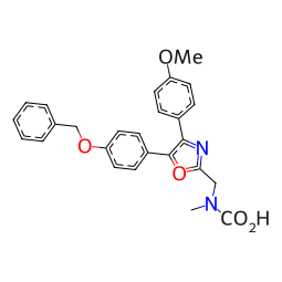 COc1ccc(-c2nc(CN(C)C(=O)O)oc2-c2ccc(OCc3ccccc3)cc2)cc1